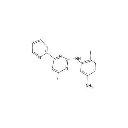 Cc1cc(-c2ccccn2)nc(Nc2cc(N)ccc2C)n1